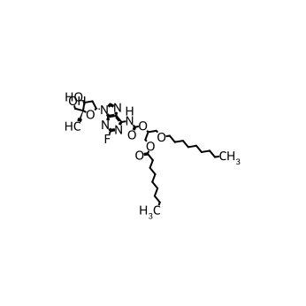 C#C[C@]1(CO)O[C@@H](n2cnc3c(NC(=O)OC(COCCCCCCCCC)COC(=O)CCCCCCCC)nc(F)nc32)C[C@@H]1O